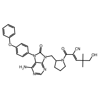 CC(C)(C=C(C#N)C(=O)N1CCCC1Cn1c(=O)n(-c2ccc(Oc3ccccc3)cc2)c2c(N)ncnc21)CO